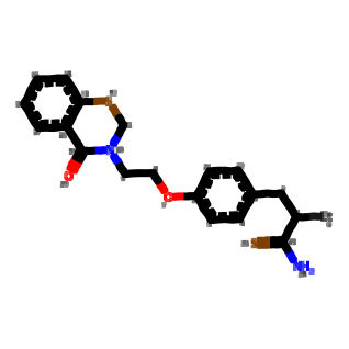 CCC(Cc1ccc(OCCN2CSc3ccccc3C2=O)cc1)C(N)=S